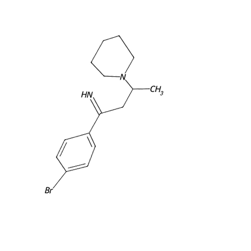 CC(CC(=N)c1ccc(Br)cc1)N1CCCCC1